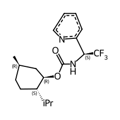 CC(C)[C@@H]1CC[C@@H](C)C[C@H]1OC(=O)N[C@@H](c1ccccn1)C(F)(F)F